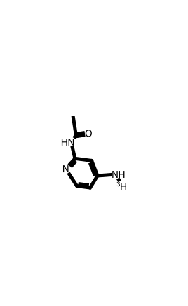 [3H]Nc1ccnc(NC(C)=O)c1